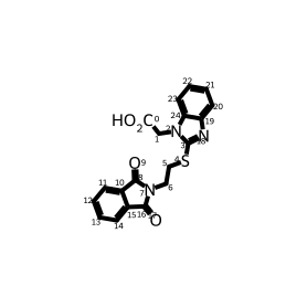 O=C(O)Cn1c(SCCN2C(=O)c3ccccc3C2=O)nc2ccccc21